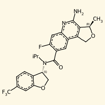 CC(C)N(C(=O)c1cc2c3c(c(N)nc2cc1F)[C@@H](C)OC3)[C@@H]1COc2cc(C(F)(F)F)ccc21